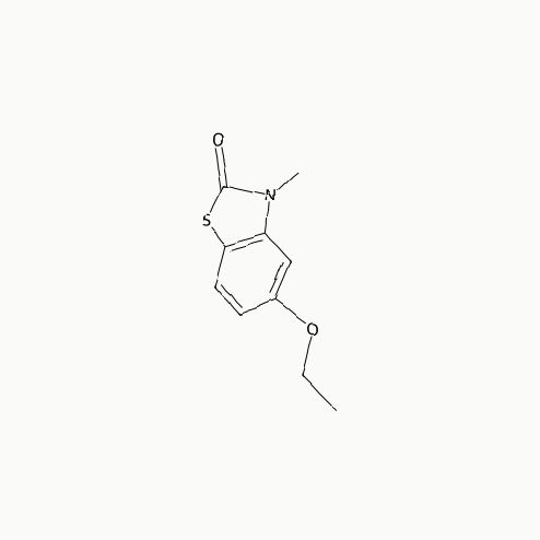 CCOc1ccc2sc(=O)n(C)c2c1